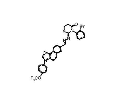 CC(C)c1ccccc1N1C(=O)CCS/C1=N\N=C\c1ccc2c(ccc3c2ncn3-c2ccc(OC(F)(F)F)cc2)c1